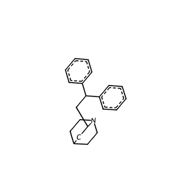 c1ccc(C(CC2CC3CCN2CC3)c2ccccc2)cc1